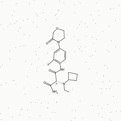 CCN(C1CCC1)[C@H](C(N)=O)C(=O)Nc1ccc(N2CCOCC2=O)cc1F